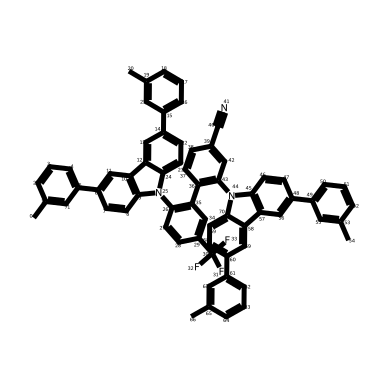 Cc1cccc(-c2ccc3c(c2)c2cc(-c4cccc(C)c4)ccc2n3-c2ccc(C(F)(F)F)cc2-c2ccc(C#N)cc2-n2c3ccc(-c4cccc(C)c4)cc3c3cc(-c4cccc(C)c4)ccc32)c1